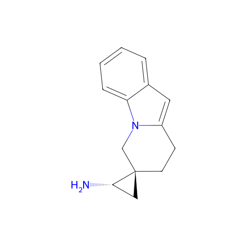 N[C@H]1C[C@@]12CCc1cc3ccccc3n1C2